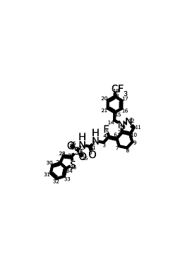 O=C(NCC(F)=C1CCCc2cnn(Cc3ccc(C(F)(F)F)cc3)c21)NS(=O)(=O)c1cc2ccccc2s1